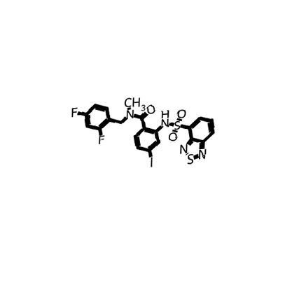 CN(Cc1ccc(F)cc1F)C(=O)c1ccc(I)cc1NS(=O)(=O)c1cccc2nsnc12